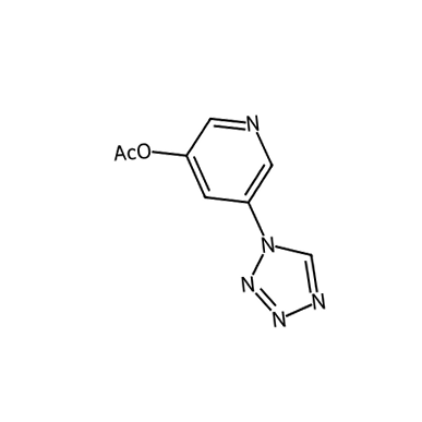 CC(=O)Oc1cncc(-n2cnnn2)c1